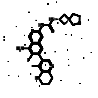 Cc1c(-c2cc3cc(NC(=O)N[C@H]4C[C@@]5(CCOC5)C4)ncc3c(N)c2F)cnc2c1NCCC2